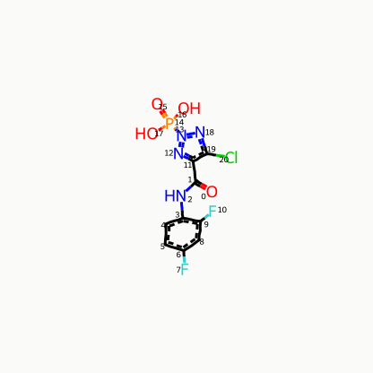 O=C(Nc1ccc(F)cc1F)c1nn(P(=O)(O)O)nc1Cl